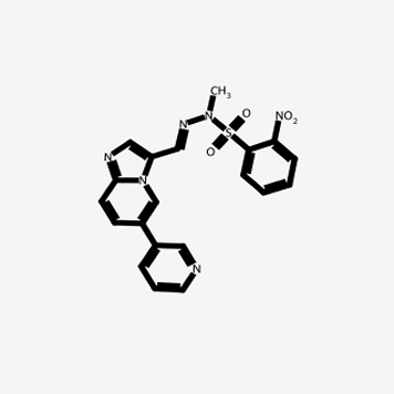 CN(/N=C/c1cnc2ccc(-c3cccnc3)cn12)S(=O)(=O)c1ccccc1[N+](=O)[O-]